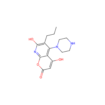 CCCc1c(O)nc2oc(=O)cc(O)c2c1N1CCNCC1